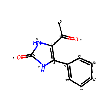 CC(=O)c1[nH]c(=O)[nH]c1-c1ccccc1